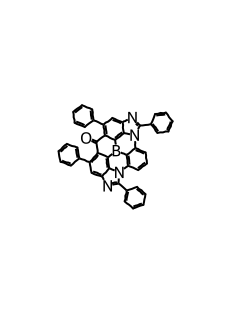 O=C1c2c(-c3ccccc3)cc3nc(-c4ccccc4)n4c3c2B2c3c-4cccc3-n3c(-c4ccccc4)nc4cc(-c5ccccc5)c1c2c43